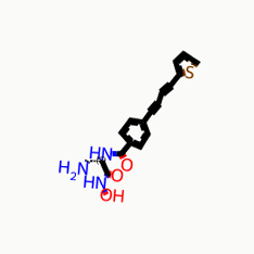 NC[C@H](NC(=O)c1ccc(C#CC#Cc2cccs2)cc1)C(=O)NO